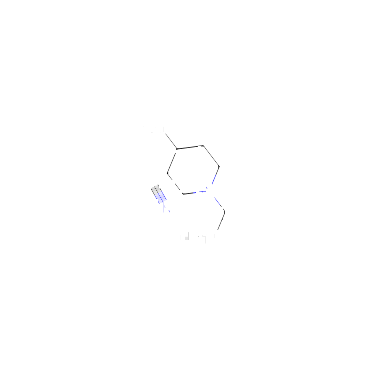 C#N.CCCCCCCCN1CCC(CCCC)CC1